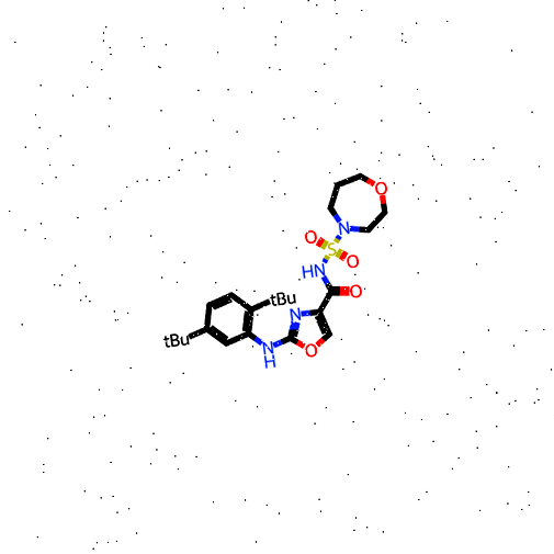 CC(C)(C)c1ccc(C(C)(C)C)c(Nc2nc(C(=O)NS(=O)(=O)N3CCCOCC3)co2)c1